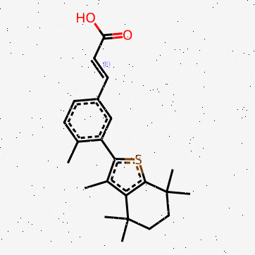 Cc1ccc(/C=C/C(=O)O)cc1-c1sc2c(c1C)C(C)(C)CCC2(C)C